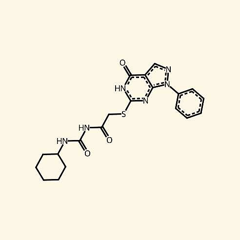 O=C(CSc1nc2c(cnn2-c2ccccc2)c(=O)[nH]1)NC(=O)NC1CCCCC1